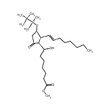 CCCCCC/C=C/C1C(O[Si](C)(C)C(C)(C)C)CC(=O)C1C(O)CCCCCC(=O)OC